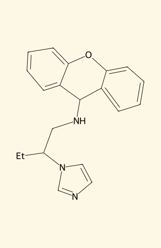 CCC(CNC1c2ccccc2Oc2ccccc21)n1ccnc1